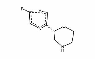 Fc1ccc([C@H]2CNCCO2)nc1